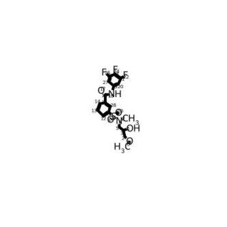 COCC(O)CN(C)S(=O)(=O)c1cccc(C(=O)Nc2cc(F)c(F)c(F)c2)c1